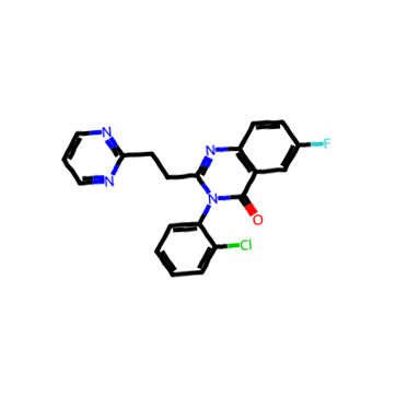 O=c1c2cc(F)ccc2nc(CCc2ncccn2)n1-c1ccccc1Cl